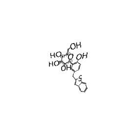 OC[C@H]1O[C@@H](c2cc(Cc3cc4ccccc4s3)ccc2O)[C@H](O)[C@@H](O)[C@@H]1O